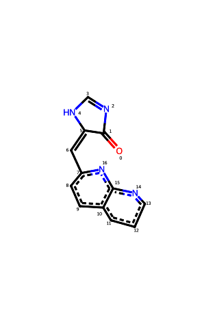 O=C1N=CNC1=Cc1ccc2cccnc2n1